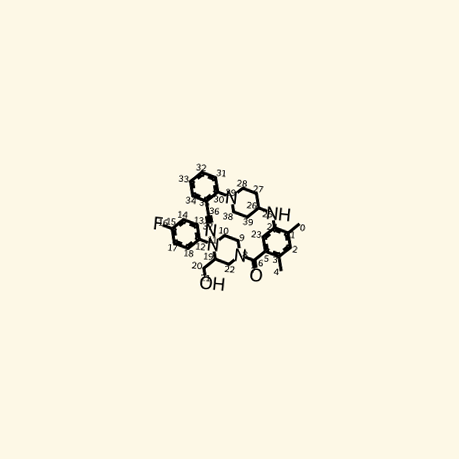 Cc1cc(C)c(C(=O)N2CCN(c3ccc(F)cc3)C(CO)C2)cc1NC1CCN(c2ccccc2C#N)CC1